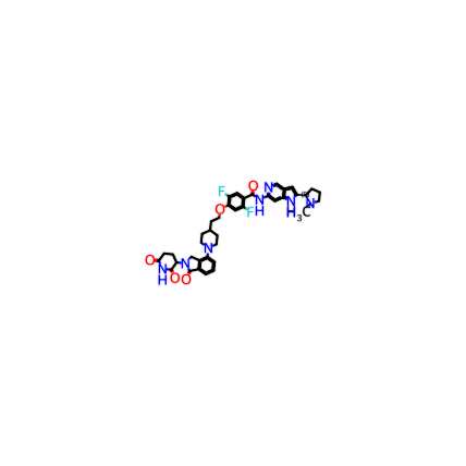 CN1CCC[C@@H]1c1cc2cnc(NC(=O)c3cc(F)c(OCCC4CCN(c5cccc6c5CN(C5CCC(=O)NC5=O)C6=O)CC4)cc3F)cc2[nH]1